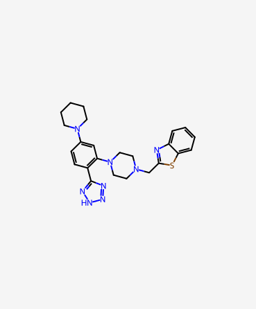 c1ccc2sc(CN3CCN(c4cc(N5CCCCC5)ccc4-c4nn[nH]n4)CC3)nc2c1